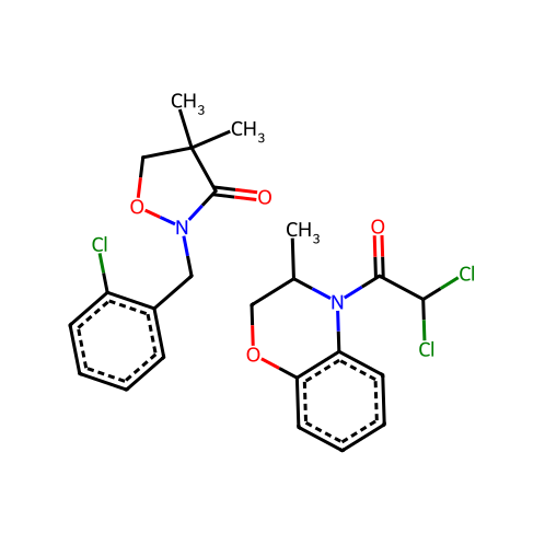 CC1(C)CON(Cc2ccccc2Cl)C1=O.CC1COc2ccccc2N1C(=O)C(Cl)Cl